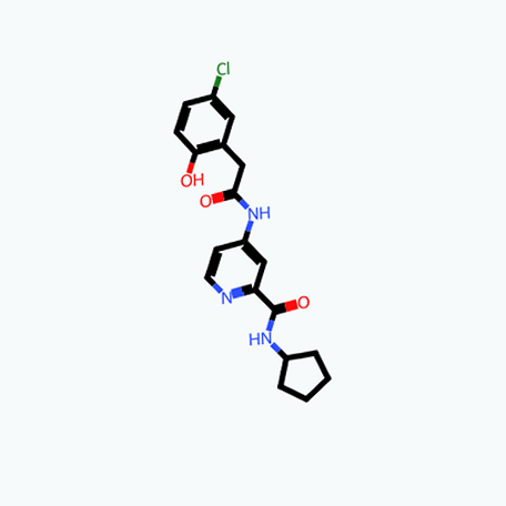 O=C(Cc1cc(Cl)ccc1O)Nc1ccnc(C(=O)NC2CCCC2)c1